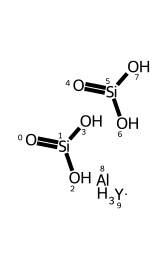 O=[Si](O)O.O=[Si](O)O.[AlH3].[Y]